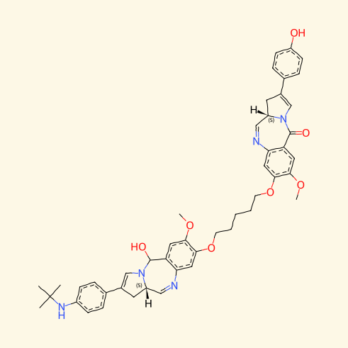 COc1cc2c(cc1OCCCCCOc1cc3c(cc1OC)C(O)N1C=C(c4ccc(NC(C)(C)C)cc4)C[C@H]1C=N3)N=C[C@@H]1CC(c3ccc(O)cc3)=CN1C2=O